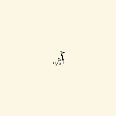 [Cu].[GaH3].[SeH][Ir]